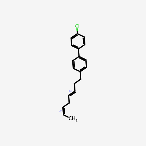 C/C=C\C/C=C/CCc1ccc(-c2ccc(Cl)cc2)cc1